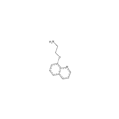 NCCOc1cccc2cccnc12